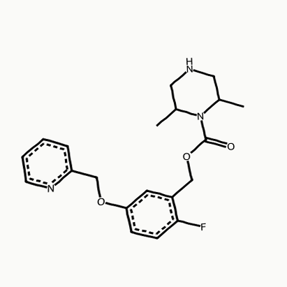 CC1CNCC(C)N1C(=O)OCc1cc(OCc2ccccn2)ccc1F